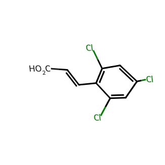 O=C(O)C=Cc1c(Cl)cc(Cl)cc1Cl